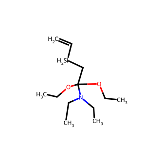 C=C[SiH2]CC(OCC)(OCC)N(CC)CC